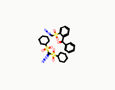 [N-]=[N+]=C(S(=O)(=O)C1CCCCC1)S(=O)(=O)C1CCCCC1.[N-]=[N+]=CS(=O)(=O)c1ccccc1C(=O)c1ccccc1